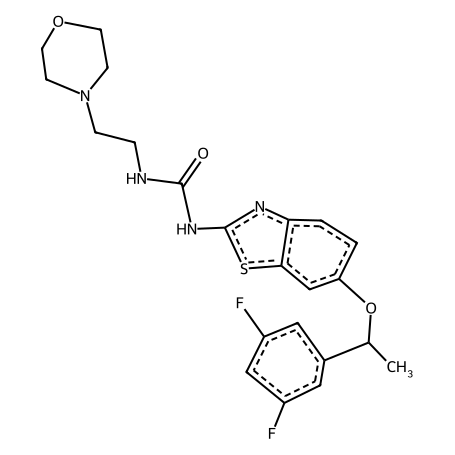 CC(Oc1ccc2nc(NC(=O)NCCN3CCOCC3)sc2c1)c1cc(F)cc(F)c1